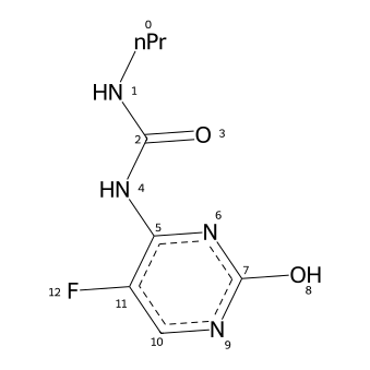 CCCNC(=O)Nc1nc(O)ncc1F